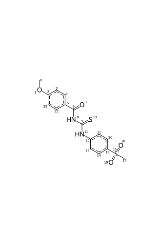 COc1ccc(C(=O)NC(=S)Nc2ccc(S(C)(=O)=O)cc2)cc1